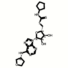 O[C@@H]1[C@H](O)[C@@H](CSC(=S)NC2CCCC2)O[C@H]1n1cnc2c(N[C@@H]3CCOC3)ncnc21